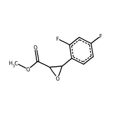 COC(=O)C1OC1c1ccc(F)cc1F